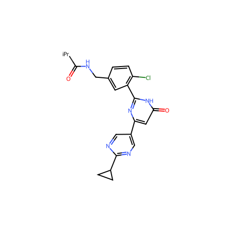 CC(C)C(=O)NCc1ccc(Cl)c(-c2nc(-c3cnc(C4CC4)nc3)cc(=O)[nH]2)c1